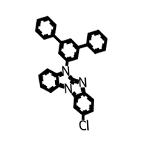 Clc1ccc2nc3n(-c4cc(-c5ccccc5)cc(-c5ccccc5)c4)c4ccccc4n3c2c1